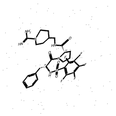 N=C(N)N1CCC(CNC(=O)[C@@H]2CCCN2C(=O)[C@@H](Cc2ccccc2)NS(=O)(=O)c2c(F)c(F)c(F)c(F)c2F)CC1